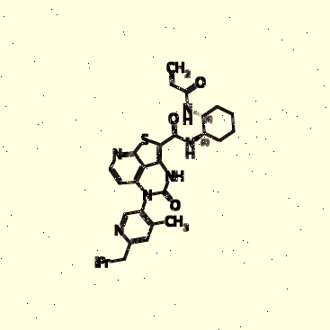 C=CC(=O)N[C@@H]1CCCC[C@H]1NC(=O)c1sc2nccc3c2c1NC(=O)N3c1cnc(CC(C)C)cc1C